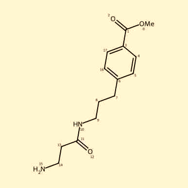 COC(=O)c1ccc(CCCNC(=O)CCN)cc1